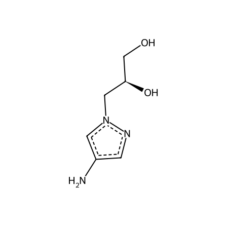 Nc1cnn(C[C@H](O)CO)c1